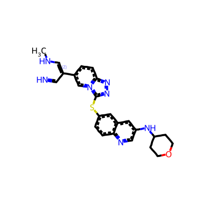 CN/C=C(\C=N)c1ccc2nnc(Sc3ccc4ncc(NC5CCOCC5)cc4c3)n2c1